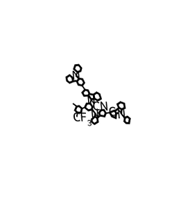 Cc1cc(-c2cc(-n3c4ccccc4c4cc(-c5ccc6c(c5)c5ccccc5n6-c5ccccc5)ccc43)c(C#N)c(-n3c4ccccc4c4cc(-c5ccc6c(c5)c5ccccc5n6-c5ccccc5)ccc43)c2)cc(C(F)(F)F)c1